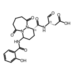 O=C[C@H](CC(=O)O)NC(=O)[C@@H]1CCC(NC(=O)c2ccccc2O)N2C(=O)CCCC(=O)N12